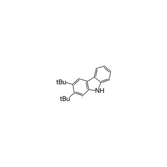 CC(C)(C)c1[c]c2[nH]c3ccccc3c2cc1C(C)(C)C